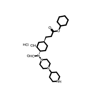 Cl.Cl.O=CN([C@H]1CC[C@H](CCC(=O)OC2CCCCC2)CC1)N1CCN(C2CCNCC2)CC1